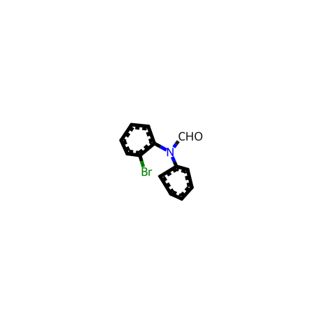 O=CN(c1ccccc1)c1ccccc1Br